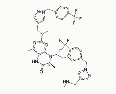 CNCc1cnn(Cc2ccc(C(F)(F)F)[n+](CCN3c4nc(N(C)Cc5cnn(Cc6ccc(C(F)(F)F)nc6)c5)nc(C)c4NC(=O)[C@@H]3C)c2)c1